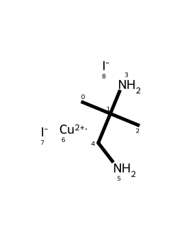 CC(C)(N)CN.[Cu+2].[I-].[I-]